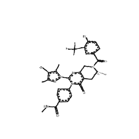 CNC(=O)c1ccc(-n2c(-n3nc(C)c(Cl)c3C)nc3c(c2=O)C[C@@H](C)N(C(=O)c2ccc(Br)c(C(F)(F)F)c2)C3)cc1